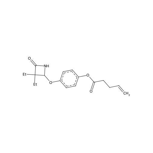 C=CCCC(=O)Oc1ccc(OC2NC(=O)C2(CC)CC)cc1